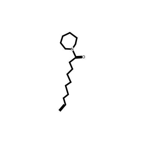 C=CCCCCCCCC(=O)N1CCCCCC1